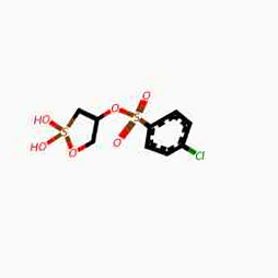 O=S(=O)(OC1COS(O)(O)C1)c1ccc(Cl)cc1